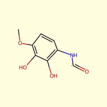 COc1ccc(N[C]=O)c(O)c1O